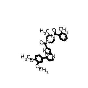 COc1ccc(-c2ccnc3cc(C(=O)N4CCN(C(=O)c5ccccc5C)[C@@H](C)C4)nn23)cc1OC